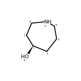 O[C@@H]1CCCNCC1